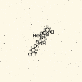 O=C(COc1ccc(Cl)c(F)c1)NC1CCC(c2nc3c(Cl)cccc3o2)N(C(=O)O)C1